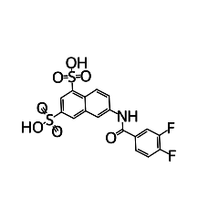 O=C(Nc1ccc2c(S(=O)(=O)O)cc(S(=O)(=O)O)cc2c1)c1ccc(F)c(F)c1